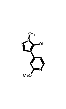 COc1cc(-c2cnn(C)c2O)ccn1